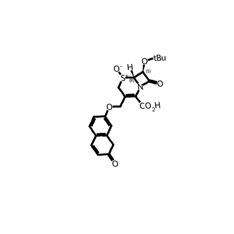 CC(C)(C)O[C@H]1C(=O)N2C(C(=O)O)=C(COc3ccc4c(c3)CC(=O)C=C4)C[S+]([O-])[C@H]12